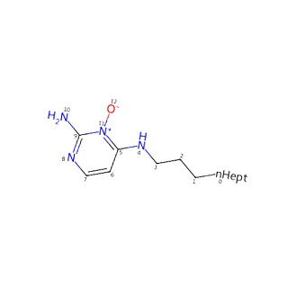 CCCCCCCCCCNc1ccnc(N)[n+]1[O-]